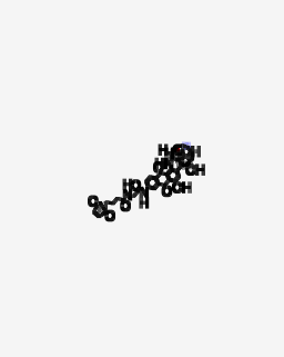 C[C@@H](O)[C@@]12O[C@]13c1cc(O)c4c(c1N[C@H]2C#C/C=C\C#C[C@H]3O)C(=O)c1ccc(NC(=O)CNC(=O)CCCN2C(=O)C=CC2=O)cc1C4=O